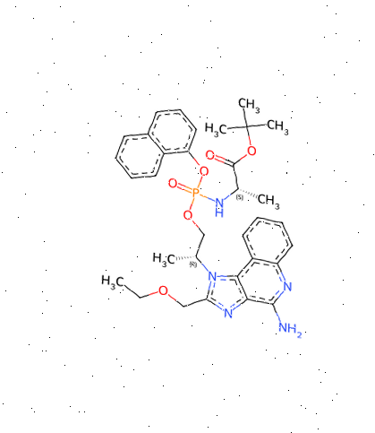 CCOCc1nc2c(N)nc3ccccc3c2n1[C@H](C)COP(=O)(N[C@@H](C)C(=O)OC(C)(C)C)Oc1cccc2ccccc12